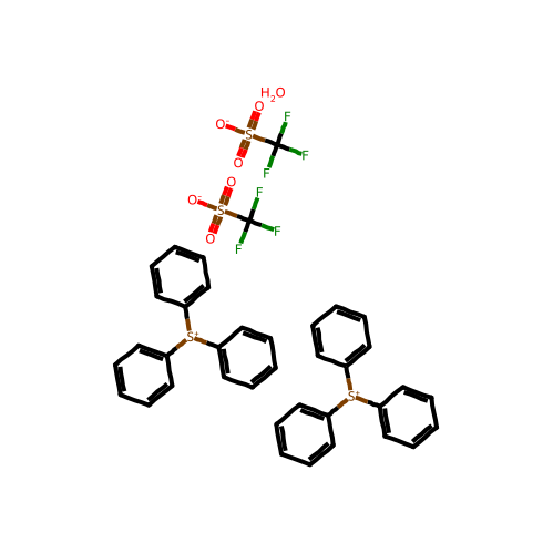 O.O=S(=O)([O-])C(F)(F)F.O=S(=O)([O-])C(F)(F)F.c1ccc([S+](c2ccccc2)c2ccccc2)cc1.c1ccc([S+](c2ccccc2)c2ccccc2)cc1